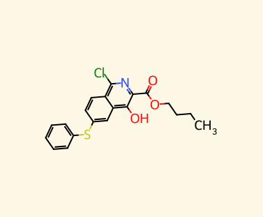 CCCCOC(=O)c1nc(Cl)c2ccc(Sc3ccccc3)cc2c1O